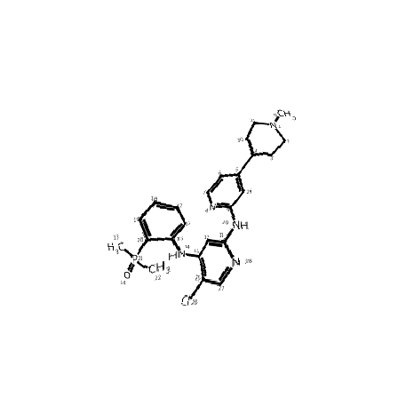 CN1CCC(c2ccnc(Nc3cc(Nc4ccccc4P(C)(C)=O)c(Cl)cn3)c2)CC1